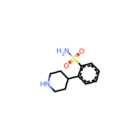 NS(=O)(=O)c1[c]cccc1C1CCNCC1